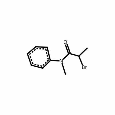 CC(Br)C(=O)N(C)c1ccccc1